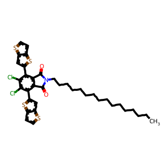 CCCCCCCCCCCCCCCCN1C(=O)c2c(c(-c3cc4sccc4s3)c(Cl)c(Cl)c2-c2cc3sccc3s2)C1=O